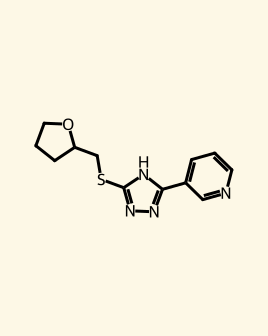 c1cncc(-c2nnc(SCC3CCCO3)[nH]2)c1